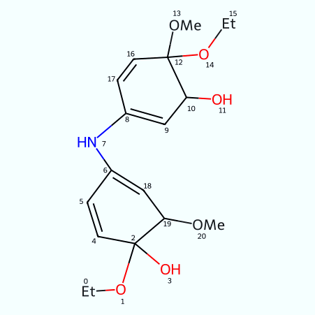 CCOC1(O)C=CC(NC2=CC(O)C(OC)(OCC)C=C2)=CC1OC